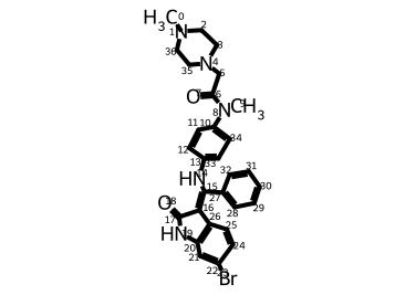 CN1CCN(CC(=O)N(C)c2ccc(N/C(=C3\C(=O)Nc4cc(Br)ccc43)c3ccccc3)cc2)CC1